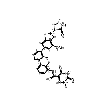 COc1cc(-c2cccc(-c3cccc(NC(=O)c4nn(C)c(=O)n(C)c4=O)c3C)c2C)cc(F)c1CN[C@H]1CONC1=O